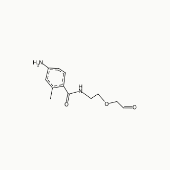 Cc1cc(N)ccc1C(=O)NCCOCC=O